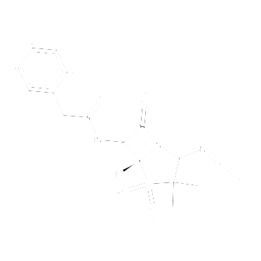 CC1(C)C(N=C=O)N2C(=O)C(NC(=O)Cc3ccccc3)[C@H]2S1(=O)=O